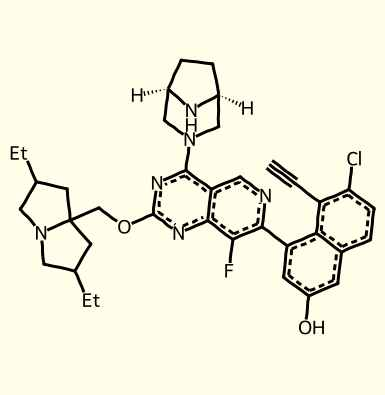 C#Cc1c(Cl)ccc2cc(O)cc(-c3ncc4c(N5C[C@H]6CC[C@@H](C5)N6)nc(OCC56CC(CC)CN5CC(CC)C6)nc4c3F)c12